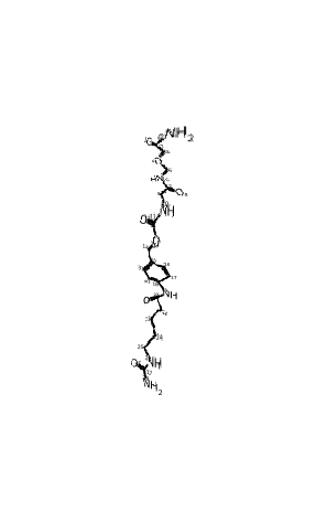 NC(=O)COCNC(=O)CNC(=O)OCc1ccc(NC(=O)CCCCNC(N)=O)cc1